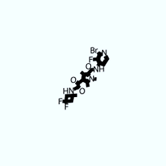 Cc1c(C(=O)C(=O)NC2(C)CC(F)(F)C2)c(C)n(C)c1C(=O)Nc1ccnc(Br)c1F